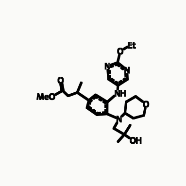 CCOc1ncc(Nc2cc(C(C)CC(=O)OC)ccc2N(CC(C)(C)O)C2CCOCC2)cn1